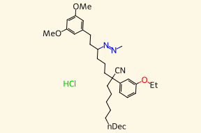 CCCCCCCCCCCCCCCC(C#N)(CCCC(CCc1cc(OC)cc(OC)c1)N=NC)c1cccc(OCC)c1.Cl